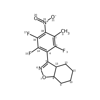 Cc1c(F)c(C2=NOC3CCCCC23)c(F)c(F)c1[N+](=O)[O-]